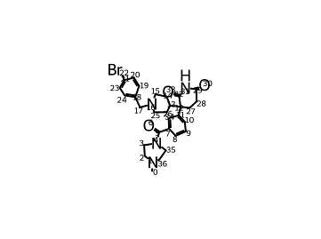 CN1CCN(C(=O)c2cccc(C3(C4CCN(Cc5ccc(Br)cc5)CC4)CCC(=O)NC3=O)c2)CC1